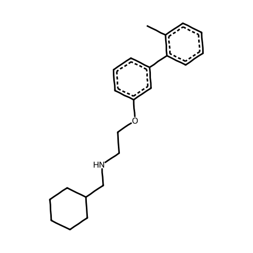 Cc1ccccc1-c1cccc(OCCNCC2CCCCC2)c1